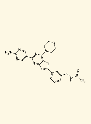 CC(=O)NCc1cccc(-c2cc3nc(-c4cnc(N)nc4)nc(N4CCOCC4)c3s2)c1